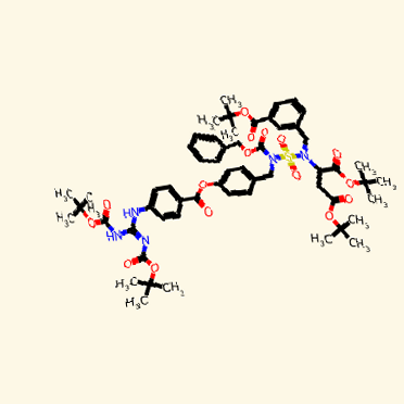 CC(C)(C)OC(=O)CC(C(=O)OC(C)(C)C)N(Cc1cccc(C(=O)OC(C)(C)C)c1)S(=O)(=O)N(Cc1ccc(OC(=O)c2ccc(NC(=NC(=O)OC(C)(C)C)NC(=O)OC(C)(C)C)cc2)cc1)C(=O)OCc1ccccc1